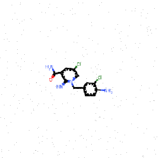 N=c1c(C(N)=O)cc(Cl)cn1Cc1ccc(N)c(Cl)c1